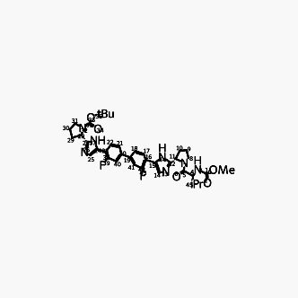 COC(=O)N[C@H](C(=O)N1CCC[C@H]1c1ncc(-c2ccc(-c3ccc(-c4cnc([C@@H]5CCCN5C(=O)OC(C)(C)C)[nH]4)c(F)c3)cc2F)[nH]1)C(C)C